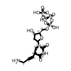 NCC#Cc1cn(C2C[C@@H](O)[C@@H](COP(=O)(O)OP(=O)(O)OP(=O)(O)O)O2)c(=O)[nH]c1=O